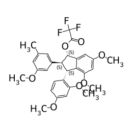 COc1cc(C)cc([C@@H]2[C@@H](c3ccc(OC)cc3OC)c3c(OC)cc(OC)cc3[C@H]2OC(=O)C(F)(F)F)c1